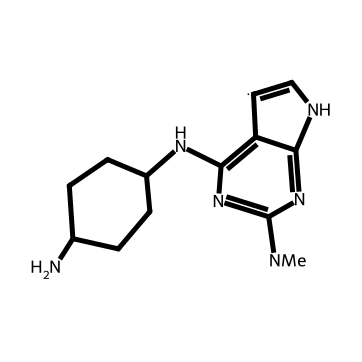 CNc1nc(NC2CCC(N)CC2)c2[c]c[nH]c2n1